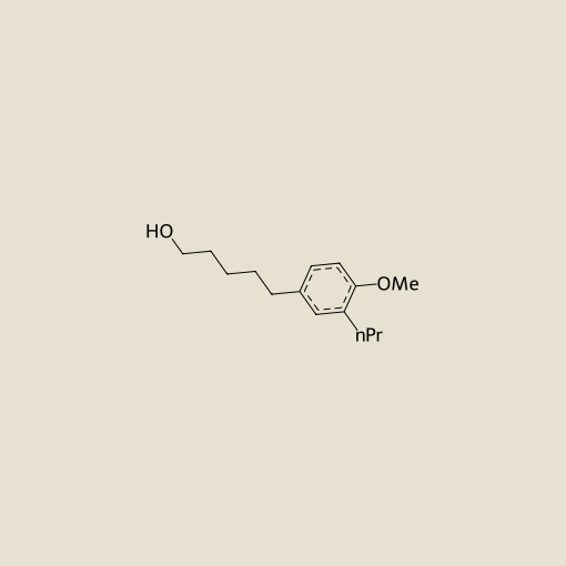 CCCc1cc(CCCCCO)ccc1OC